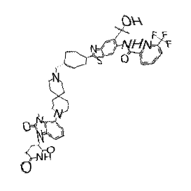 Cn1c(=O)n(C2CCC(=O)NC2=O)c2cccc(N3CCC4(CCN(C[C@H]5CC[C@H](c6nc7cc(C(C)(C)O)c(NC(=O)c8cccc(C(F)(F)F)n8)cc7s6)CC5)CC4)CC3)c21